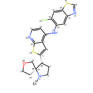 CCN1CC[C@@H](c2cc3c(Nc4cc5ncsc5cc4F)ccnc3s2)[C@@]12CCOC2